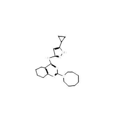 c1c(Nc2nc(N3CCCCCCC3)nc3c2CCCC3)n[nH]c1C1CC1